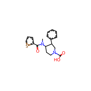 CN(C(=O)c1cccs1)C1CCN(C(=O)O)CC1c1ccccc1